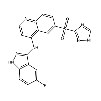 O=S(=O)(c1ccc2nccc(Nc3n[nH]c4ccc(F)cc34)c2c1)c1nc[nH]n1